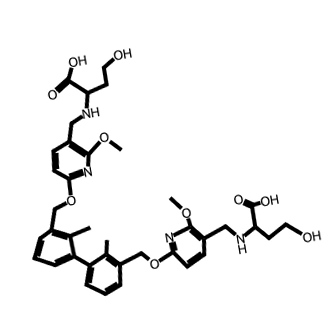 COc1nc(OCc2cccc(-c3cccc(COc4ccc(CNC(CCO)C(=O)O)c(OC)n4)c3C)c2C)ccc1CNC(CCO)C(=O)O